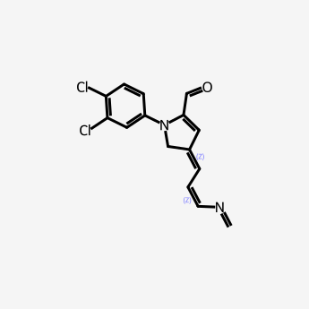 C=N/C=C\C=C1\C=C(C=O)N(c2ccc(Cl)c(Cl)c2)C1